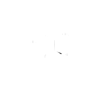 CC[C@H](C)[C@@H](C)F